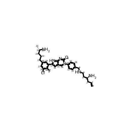 C=CC[C@H](N)CCNCc1ccc(-n2cc3cc(-c4cc(CCC[C@H](C)N)cc(Cl)c4F)[nH]c3nc2=O)cc1